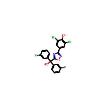 Oc1c(Br)cc(-c2noc(C(O)(c3cccc(F)c3)c3cccc(F)c3)n2)cc1Br